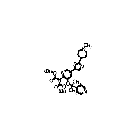 CN1CCC(c2ncc(-c3cnc(N(C(=O)OC(C)(C)C)C(=O)OC(C)(C)C)c(OC(C)(C)c4ccncc4)c3)s2)CC1